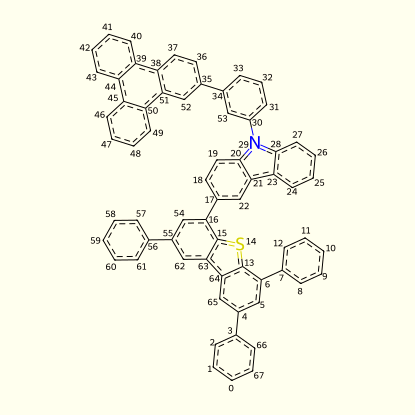 c1ccc(-c2cc(-c3ccccc3)c3sc4c(-c5ccc6c(c5)c5ccccc5n6-c5cccc(-c6ccc7c8ccccc8c8ccccc8c7c6)c5)cc(-c5ccccc5)cc4c3c2)cc1